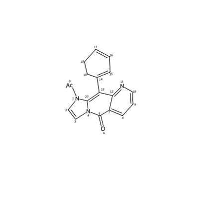 CC(=O)n1ccn2c(=O)c3cccnc3c(C3=CC=CCC3)c12